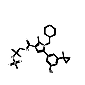 Cc1c(C(=O)NCC(C)(C)NS(C)(=O)=O)cc(-c2cc(C(C)(C)C)cc(C3(C)CC3)c2)n1CC1CCCCC1